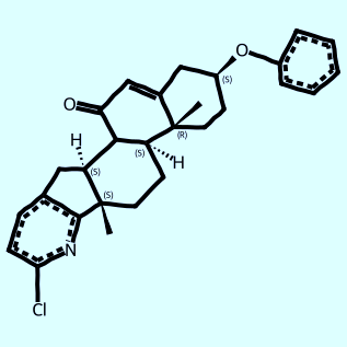 C[C@]12CC[C@H](Oc3ccccc3)CC1=CC(=O)C1[C@@H]2CC[C@]2(C)c3nc(Cl)ccc3C[C@@H]12